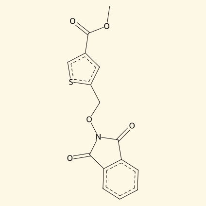 COC(=O)c1csc(CON2C(=O)c3ccccc3C2=O)c1